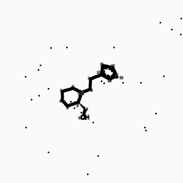 OC[C@@H]1CCCCN1CCc1ccsc1